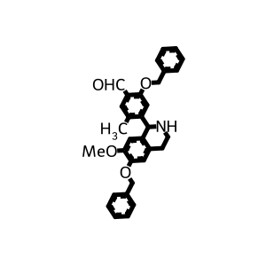 COc1cc2c(cc1OCc1ccccc1)CCNC2c1cc(OCc2ccccc2)c(C=O)cc1C